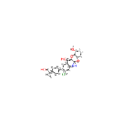 COc1ccccc1Oc1c(O)c2cc(-c3ccc(C4(CO)CC4)cc3)c(Cl)cc2[nH]c1=O